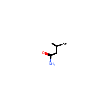 CC(=O)C(C)CC(N)=O